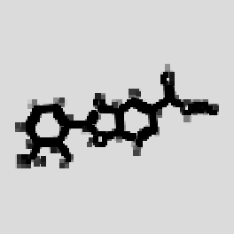 COC(=O)c1cnc2oc(-c3cccc(Br)c3C)nc2c1